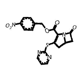 O=C(OCc1ccc([N+](=O)[O-])cc1)C1=C(Sc2ncccn2)CC2CC(=O)N12